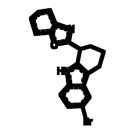 Brc1ccc2[nH]c3c(c2c1)CCCC3c1nc2ccccc2o1